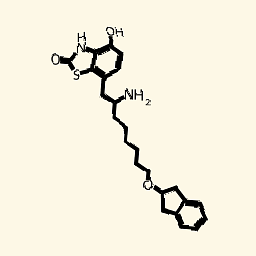 NC(CCCCCCOC1Cc2ccccc2C1)Cc1ccc(O)c2[nH]c(=O)sc12